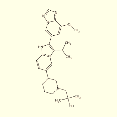 COc1cc(-c2[nH]c3ccc(C4CCCN(CC(C)(C)O)C4)cc3c2C(C)C)cn2ncnc12